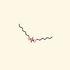 CCCCCCC[O][Sn]([CH3])([CH3])[O]CCCCCCC